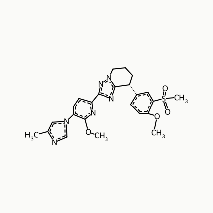 COc1ccc([C@H]2CCCn3nc(-c4ccc(-n5cnc(C)c5)c(OC)n4)nc32)cc1S(C)(=O)=O